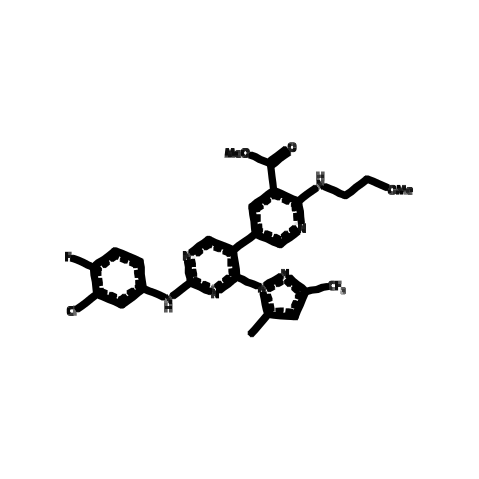 COCCNc1ncc(-c2cnc(Nc3ccc(F)c(Cl)c3)nc2-n2nc(C(F)(F)F)cc2C)cc1C(=O)OC